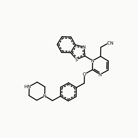 N#CCC1C=CN=C(OCc2ccc(CN3CCNCC3)cc2)N1c1nc2ccccc2s1